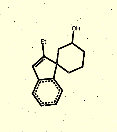 CCC1=Cc2ccccc2C12CCCC(O)C2